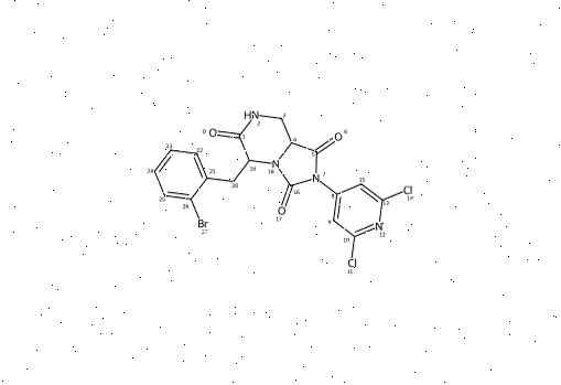 O=C1NCC2C(=O)N(c3cc(Cl)nc(Cl)c3)C(=O)N2C1Cc1ccccc1Br